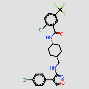 O=C(N[C@H]1CC[C@H](CNc2nocc2-c2ccc(Cl)cc2)CC1)c1cc(C(F)(F)F)ccc1Cl